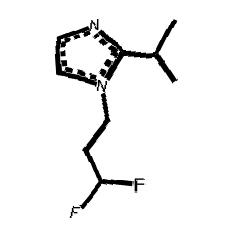 CC(C)c1nccn1CCC(F)F